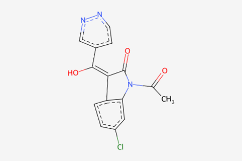 CC(=O)N1C(=O)C(=C(O)c2ccnnc2)c2ccc(Cl)cc21